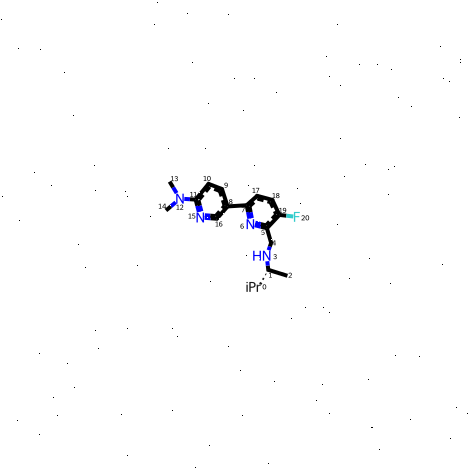 CC(C)[C@@H](C)NCc1nc(-c2ccc(N(C)C)nc2)ccc1F